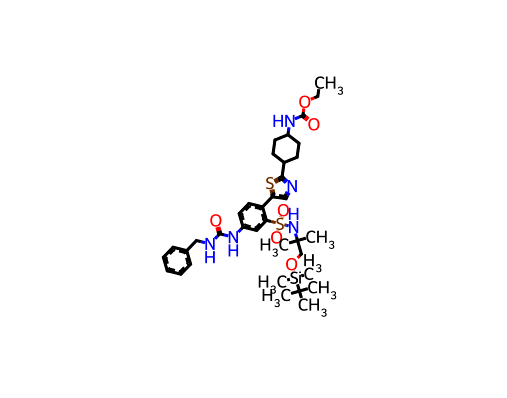 CCOC(=O)NC1CCC(c2ncc(-c3ccc(NC(=O)NCc4ccccc4)cc3S(=O)(=O)NC(C)(C)CO[Si](C)(C)C(C)(C)C)s2)CC1